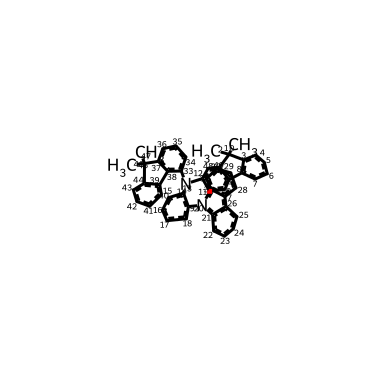 CC1(C)c2ccccc2-c2ccc(N(c3ccccc3-n3c4ccccc4c4ccccc43)c3cccc4c3-c3ccccc3C4(C)C)cc21